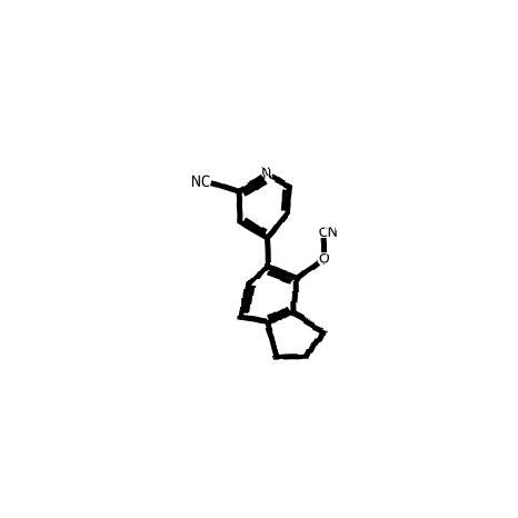 N#COc1c(-c2ccnc(C#N)c2)ccc2c1CCC2